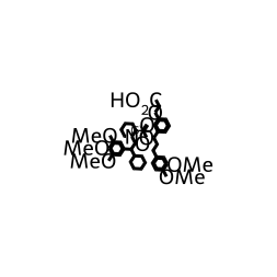 COc1ccc(CCC(OC(=O)[C@@H]2CCCCN2C(=O)C(c2cc(OC)c(OC)c(OC)c2)C2CCCCC2)c2cccc(OCC(=O)O)c2)cc1OC